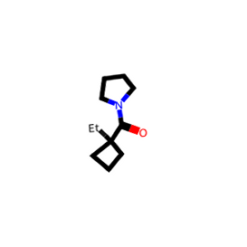 CCC1(C(=O)N2CCCC2)CCC1